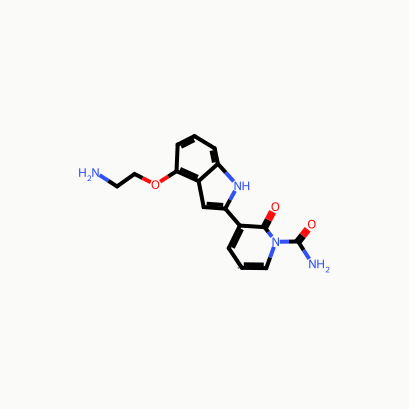 NCCOc1cccc2[nH]c(-c3c[c]cn(C(N)=O)c3=O)cc12